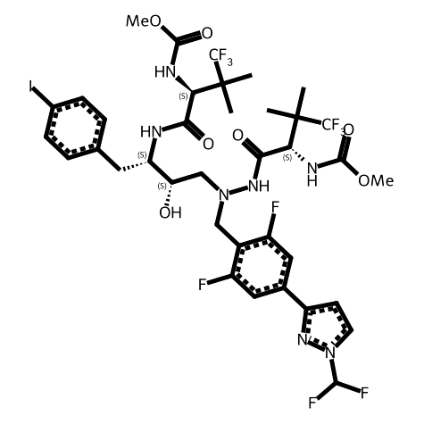 COC(=O)N[C@H](C(=O)N[C@@H](Cc1ccc(I)cc1)[C@@H](O)CN(Cc1c(F)cc(-c2ccn(C(F)F)n2)cc1F)NC(=O)[C@@H](NC(=O)OC)C(C)(C)C(F)(F)F)C(C)(C)C(F)(F)F